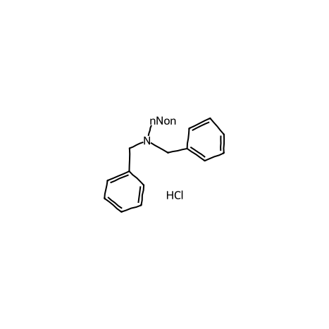 CCCCCCCCCN(Cc1ccccc1)Cc1ccccc1.Cl